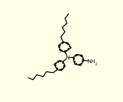 CCCCCCc1ccc(N(c2ccc(N)cc2)c2ccc(CCCCCC)cc2)cc1